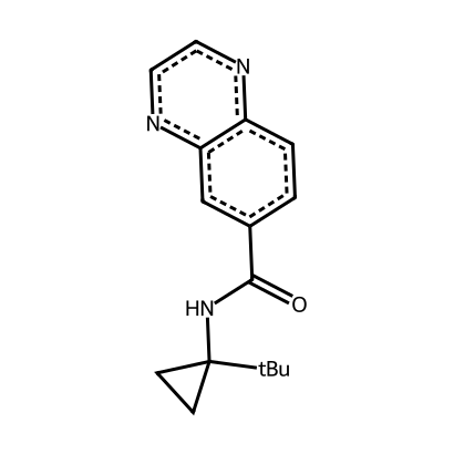 CC(C)(C)C1(NC(=O)c2ccc3nccnc3c2)CC1